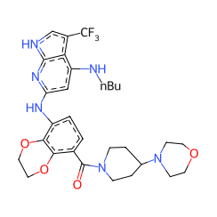 CCCCNc1cc(Nc2ccc(C(=O)N3CCC(N4CCOCC4)CC3)c3c2OCCO3)nc2[nH]cc(C(F)(F)F)c12